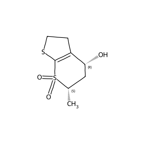 C[C@H]1C[C@@H](O)C2=C(SCC2)S1(=O)=O